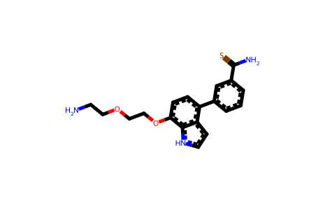 NCCOCCOc1ccc(-c2cccc(C(N)=S)c2)c2cc[nH]c12